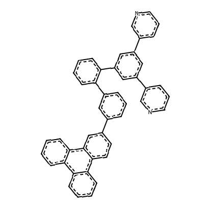 c1cncc(-c2cc(-c3cccnc3)cc(-c3ccccc3-c3cccc(-c4ccc5c6ccccc6c6ccccc6c5c4)c3)c2)c1